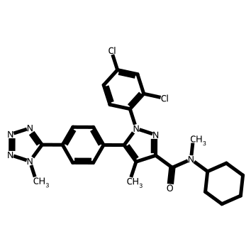 Cc1c(C(=O)N(C)C2CCCCC2)nn(-c2ccc(Cl)cc2Cl)c1-c1ccc(-c2nnnn2C)cc1